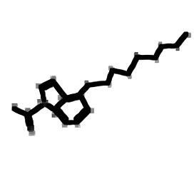 CCCCCCCCCc1cccc2c1ccn2C(C)=O